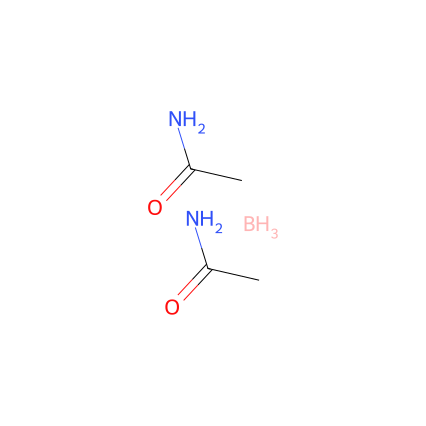 B.CC(N)=O.CC(N)=O